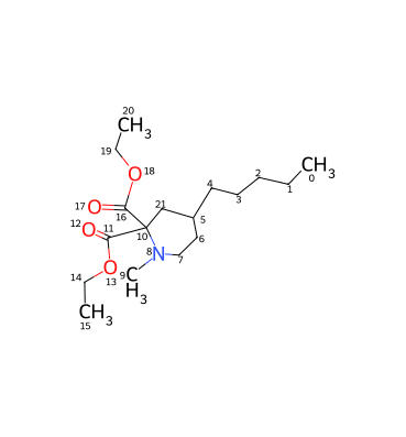 CCCCCC1CCN(C)C(C(=O)OCC)(C(=O)OCC)C1